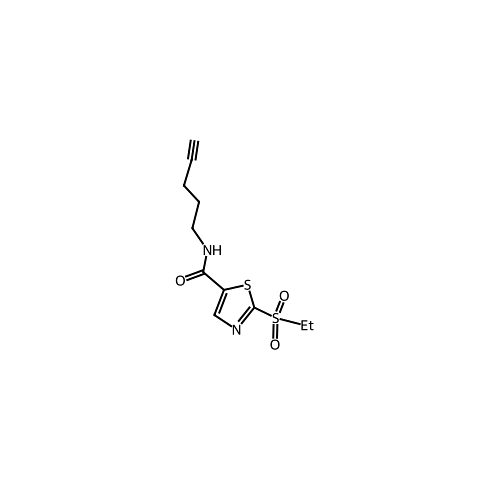 C#CCCCNC(=O)c1cnc(S(=O)(=O)CC)s1